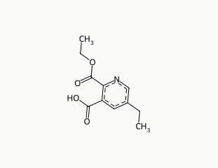 CCOC(=O)c1ncc(CC)cc1C(=O)O